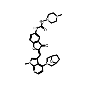 CN1CCN(NC(=O)Nc2ccc3c(c2)C(=O)C(=Cc2cn(C)c4nccc(N5CC6CCC(C5)O6)c24)O3)CC1